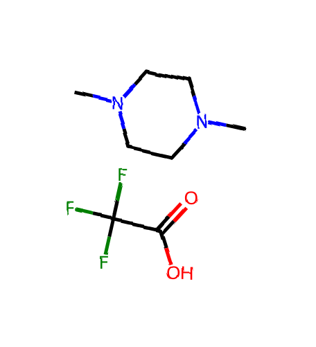 CN1CCN(C)CC1.O=C(O)C(F)(F)F